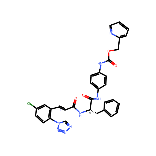 O=C(/C=C/c1cc(Cl)ccc1-n1cnnn1)N[C@@H](Cc1ccccc1)C(=O)Nc1ccc(NC(=O)OCc2ccccn2)cc1